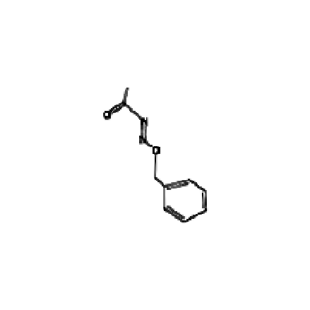 CC(=O)N=NOCc1ccccc1